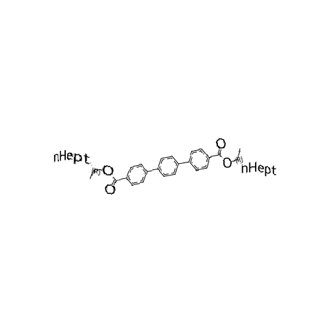 CCCCCCC[C@@H](C)OC(=O)c1ccc(-c2ccc(-c3ccc(C(=O)O[C@H](C)CCCCCCC)cc3)cc2)cc1